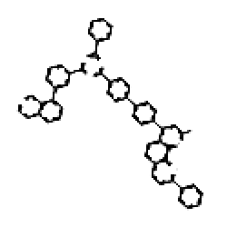 Cc1cc(-c2ccc(-c3ccc(-c4nc(-c5ccccc5)nc(-c5cccc(-c6cccc7ccncc67)c5)n4)cc3)cc2)c2ccc3ccc(-c4ccccc4)nc3c2n1